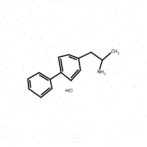 CC(N)Cc1ccc(-c2ccccc2)cc1.Cl